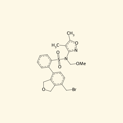 COCN(c1noc(C)c1C)S(=O)(=O)c1ccccc1-c1ccc(CBr)c2c1COC2